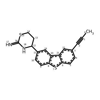 CC#Cc1ccc2sc3ccc(C4CCSC(=N)N4)cc3c2c1